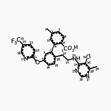 Cc1ccc(C(=O)O)c(-c2cc(Oc3ccc(C(F)(F)F)cn3)ccc2CCNc2ncnc(C)c2Cl)c1